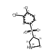 O=S(=O)(c1ccc(Cl)c(Cl)c1)C1CCNC1